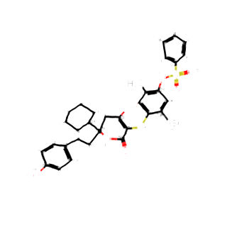 Cc1cc(SC2=C(O)CC(CCc3ccc(O)cc3)(C3CCCCC3)OC2=O)c(C(C)(C)C)cc1OS(=O)(=O)c1ccccc1